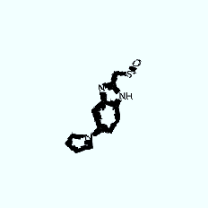 O=[S+]Cc1nc2cc(-n3cccc3)ccc2[nH]1